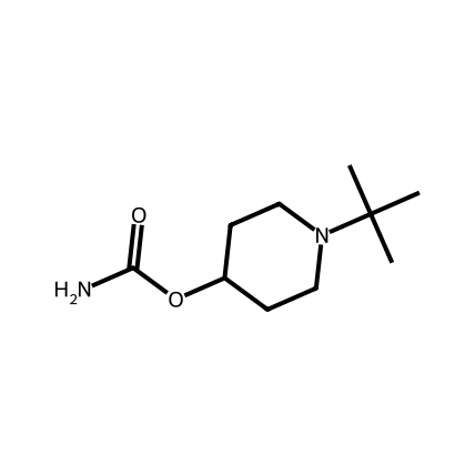 CC(C)(C)N1CCC(OC(N)=O)CC1